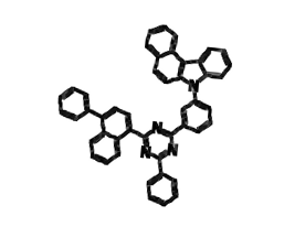 c1ccc(-c2nc(-c3cccc(-n4c5ccccc5c5c6ccccc6ccc54)c3)nc(-c3ccc(-c4ccccc4)c4ccccc34)n2)cc1